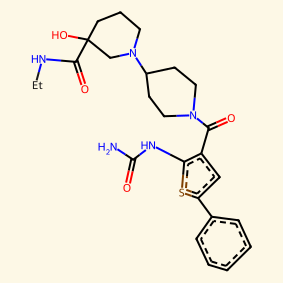 CCNC(=O)C1(O)CCCN(C2CCN(C(=O)c3cc(-c4ccccc4)sc3NC(N)=O)CC2)C1